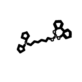 c1ccc2c(c1)op(OCCCCCCP(C1CCCC1)C1CCCC1)oc1ccccc12